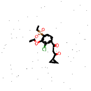 CCOc1c(S(=O)(=O)CC)ccc(C(=O)CC(=O)C2CC2)c1Cl